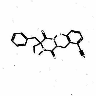 CCC1(Cc2ccccc2)C(=O)N(C)C(Cc2c(F)cccc2C#N)C(=O)N1C